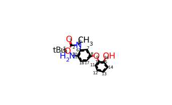 CN(C(=O)OC(C)(C)C)c1cc(Oc2ccccc2O)ccc1N